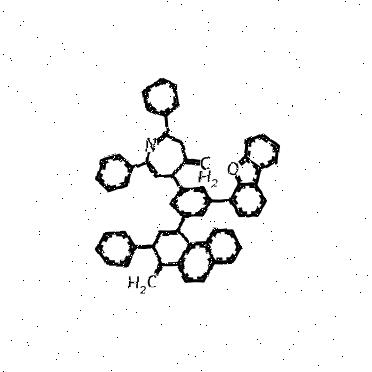 C=C1CC(c2ccccc2)=NC(c2ccccc2)=CC1c1cc(C2=CC(c3ccccc3)C(=C)c3ccc4ccccc4c32)cc(-c2cccc3c2oc2ccccc23)c1